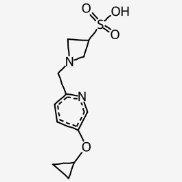 O=S(=O)(O)C1CN(Cc2ccc(OC3CC3)cn2)C1